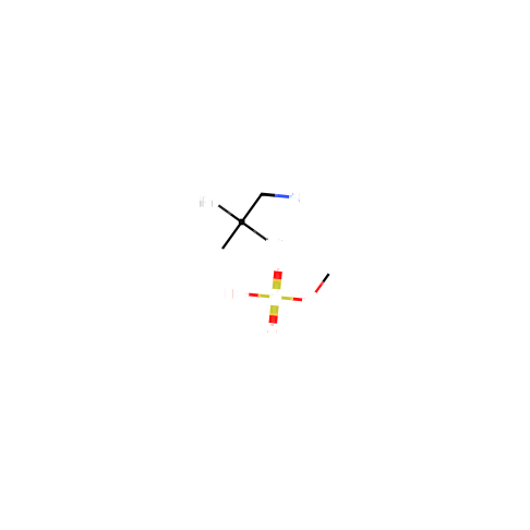 CC(C)C(C)(CN)C(C)C.COS(=O)(=O)O